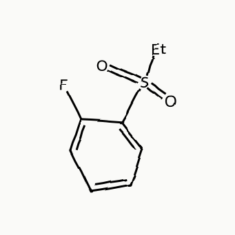 CCS(=O)(=O)c1ccccc1F